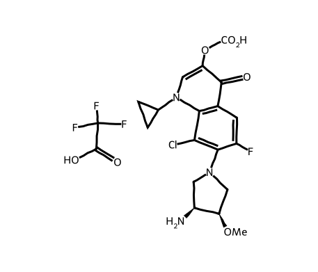 CO[C@@H]1CN(c2c(F)cc3c(=O)c(OC(=O)O)cn(C4CC4)c3c2Cl)C[C@@H]1N.O=C(O)C(F)(F)F